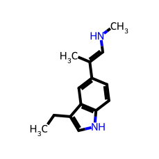 CCc1c[nH]c2ccc(/C(C)=C/NC)cc12